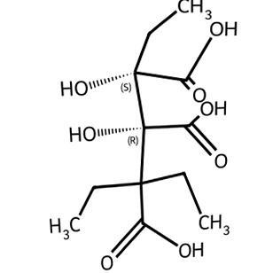 CCC(CC)(C(=O)O)[C@](O)(C(=O)O)[C@@](O)(CC)C(=O)O